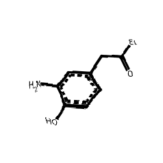 CCC(=O)Cc1ccc(O)c(N)c1